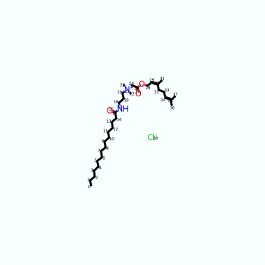 CCCCCCCCCCCCCCCC(=O)NCCC[N+](C)(C)CC(=O)OCC=C(C)CCC=C(C)C.[Cl-]